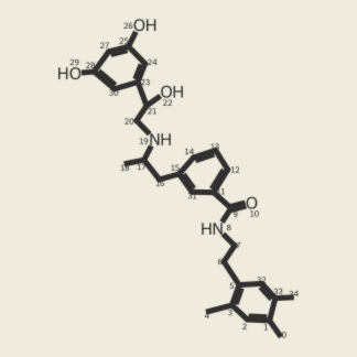 Cc1cc(C)c(CCNC(=O)c2cccc(CC(C)NCC(O)c3cc(O)cc(O)c3)c2)cc1C